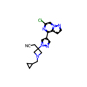 N#CCC1(n2cc(-c3nc(Cl)cn4nccc34)cn2)CN(CC2CC2)C1